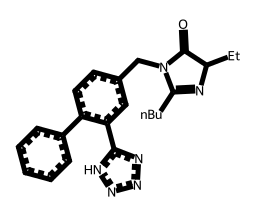 CCCCC1=NC(CC)C(=O)N1Cc1ccc(-c2ccccc2)c(-c2nnn[nH]2)c1